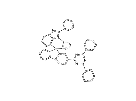 c1ccc(-c2nc(-c3ccccc3)nc(-c3ccc4c(c3)C3(c5ccccc5-4)c4ccccc4-n4c(-c5ccccc5)nc5cccc3c54)n2)cc1